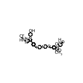 Cn1c(=O)n([C@H]2CCC(=O)NC2=O)c2ccc(COC3CCN(C4CCN(Cc5ccc(-c6cn([C@H]7CC[C@H](O)CC7)c7nc(NCCC(F)(F)F)ncc67)cc5)CC4)CC3)cc21